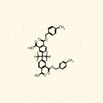 Cc1ccc(COC(=O)c2ccc(C(c3ccc(C(=O)O)c(C(=O)OCc4ccc(C)cc4)c3)(C(F)(F)F)C(F)(F)F)cc2C(=O)O)cc1